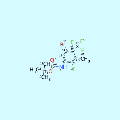 Cc1c(F)c(NC(=O)OC(C)(C)C)cc(Br)c1C(F)(F)F